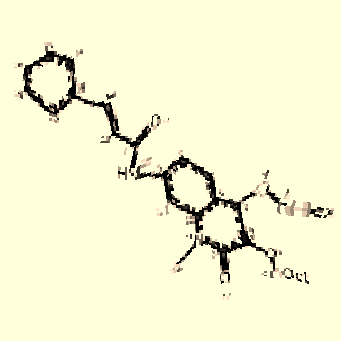 CCCCCCCCOc1c(OCCCCCC)c2ccc(NC(=O)/C=C/c3ccccc3)cc2n(C)c1=O